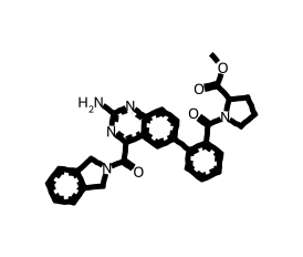 COC(=O)C1CCCN1C(=O)c1ccccc1-c1ccc2nc(N)nc(C(=O)N3Cc4ccccc4C3)c2c1